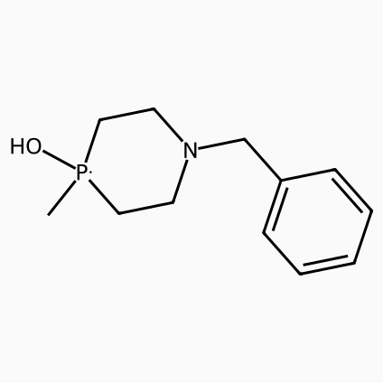 C[P]1(O)CCN(Cc2ccccc2)CC1